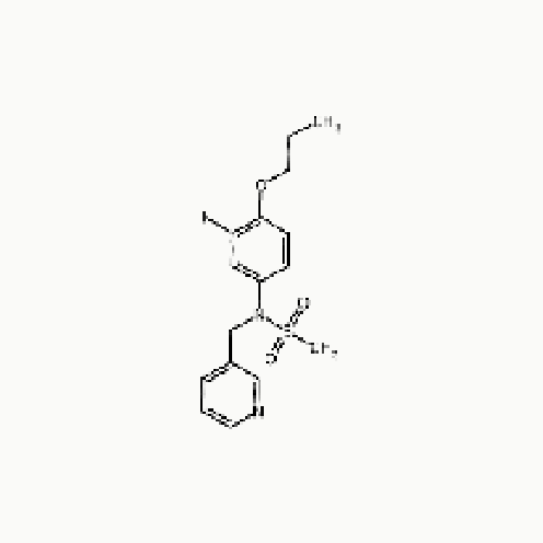 CCCOc1ccc(N(Cc2cccnc2)S(C)(=O)=O)cc1I